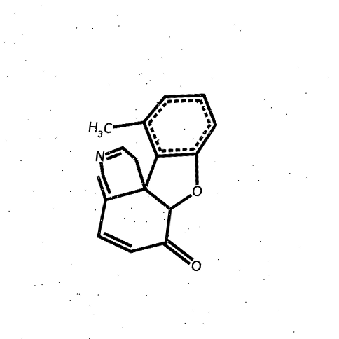 Cc1cccc2c1C13CC=NC=C1C=CC(=O)C3O2